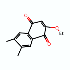 CCOC1=CC(=O)c2cc(C)c(C)cc2C1=O